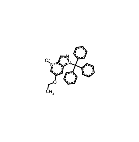 CCOc1cc2c(cnn2C(c2ccccc2)(c2ccccc2)c2ccccc2)[n+]([O-])c1